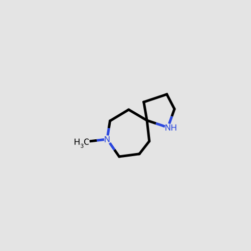 CN1CCCC2(CCCN2)CC1